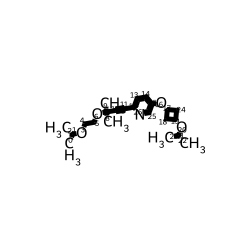 CC(C)OCCOC(C)(C)C#Cc1ccc(OC2CC(OC(C)C)C2)cn1